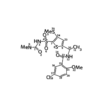 CNC(=O)NS(=O)(=O)c1sc(C(C)NC(=O)c2cc(Cl)ccc2OC)cc1SC